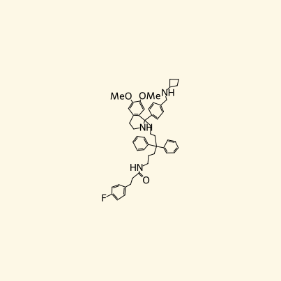 COc1cc2c(cc1OC)C(CCCC(CCCNC(=O)CCc1ccc(F)cc1)(c1ccccc1)c1ccccc1)(c1ccc(CNC3CCC3)cc1)NCC2